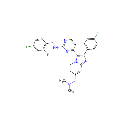 CN(C)Cc1ccn2c(-c3ccnc(NCc4ccc(F)cc4F)n3)c(-c3ccc(F)cc3)nc2c1